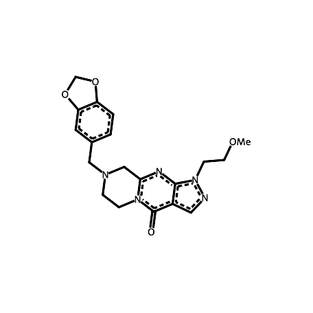 COCCn1ncc2c(=O)n3c(nc21)CN(Cc1ccc2c(c1)OCO2)CC3